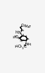 COCCN[C@H]1CC[C@H](NC(=O)O)C[C@@H]1O